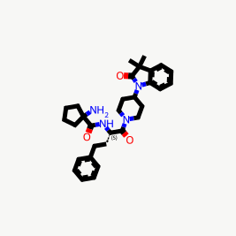 CC1(C)C(=O)N(C2CCN(C(=O)[C@H](CCc3ccccc3)NC(=O)C3(N)CCCC3)CC2)c2ccccc21